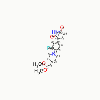 COC(CC1CCN(c2ccc(C3CCC(=O)NC3=O)cc2F)CC1)OC